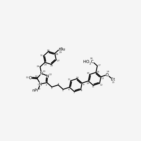 CCCn1c(CCCc2ccc(-c3ccc(OCC)c(CC(=O)O)c3)cc2)nn(Cc2ccc(C(C)(C)C)cc2)c1=O